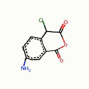 Nc1ccc2c(c1)C(=O)OC(=O)C2Cl